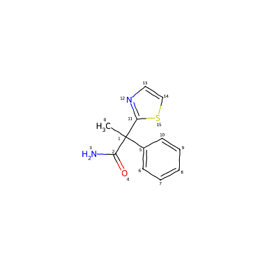 CC(C(N)=O)(c1ccccc1)c1nccs1